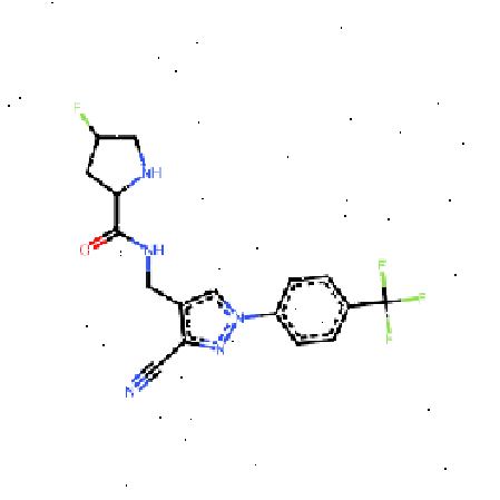 N#Cc1nn(-c2ccc(C(F)(F)F)cc2)cc1CNC(=O)C1CC(F)CN1